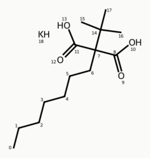 CCCCCCCC(C(=O)O)(C(=O)O)C(C)(C)C.[KH]